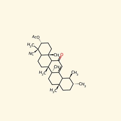 CC(=O)O[C@@H]1CC[C@@]2(C)C(CC[C@]3(C)C2C(=O)C=C2C4[C@@H](C)[C@H](C)CC[C@]4(C)CC[C@]23C)[C@@]1(C)C#N